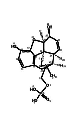 C[N+]1(COP(=O)(O)O)CC[C@]23c4c5ccc(O)c4O[C@H]2[C@@H](O)C=C[C@H]3[C@H]1C5